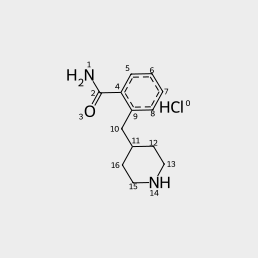 Cl.NC(=O)c1ccccc1CC1CCNCC1